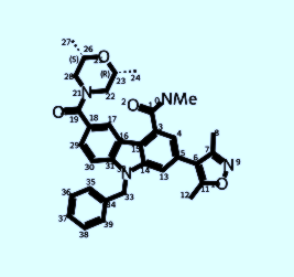 CNC(=O)c1cc(-c2c(C)noc2C)cc2c1c1cc(C(=O)N3C[C@@H](C)O[C@@H](C)C3)ccc1n2Cc1ccccc1